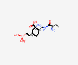 C[C@H](N)C(=O)NC[C@@H]1CC[C@@H](CCB(O)O)C[C@]1(N)C(=O)O